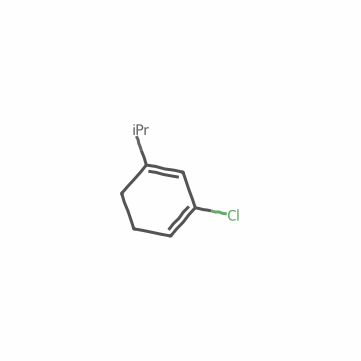 CC(C)C1=CC(Cl)=CCC1